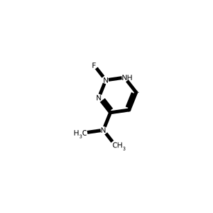 CN(C)C1=NN(F)N[C]=C1